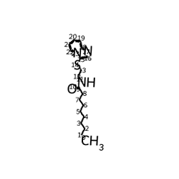 CCCCCCCCCC(=O)NCCSc1cnc2ccccn12